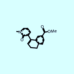 COC(=O)c1ccc2c(c1)C(c1cccn(C)c1=O)=CCC2